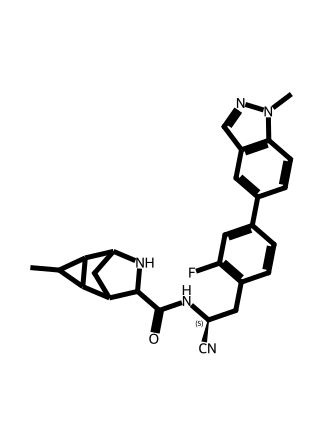 CC1C2C3CC(C(C(=O)N[C@H](C#N)Cc4ccc(-c5ccc6c(cnn6C)c5)cc4F)N3)C12